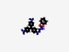 CN(C)c1ccc(C(=C2C=CC(=[N+](C)CCNC(=O)OC3CC/C=C/CCC3)C=C2)c2ccc(N(C)C)cc2)cc1